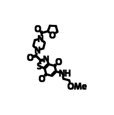 COCCNC1=CC(=O)c2sc(C(=O)N3CCN(C(=O)C4CCCO4)CC3)nc2C1=O